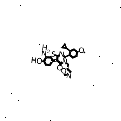 COc1ccc(-c2nc3sc4c(N)c(O)ccc4c3c(=O)n2Cc2cnco2)c(C2CC2)c1